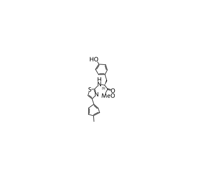 COC(=O)[C@H](Cc1ccc(O)cc1)Nc1nc(-c2ccc(C)cc2)cs1